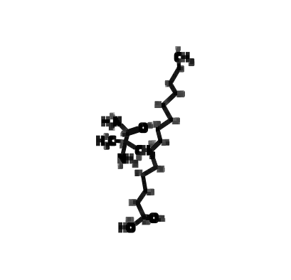 CC(C)(N)C(N)=O.CCCCCCCCCCCCCC(=O)O